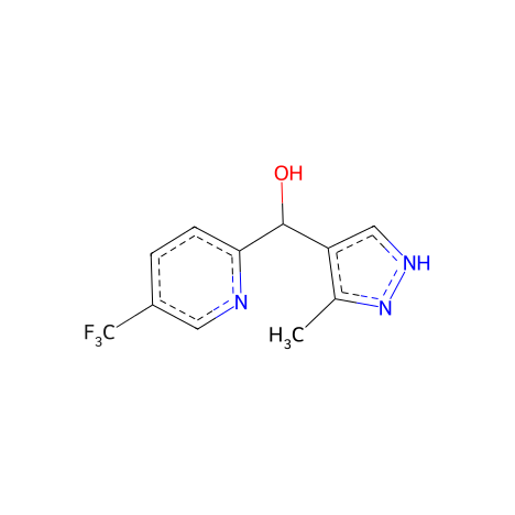 Cc1n[nH]cc1C(O)c1ccc(C(F)(F)F)cn1